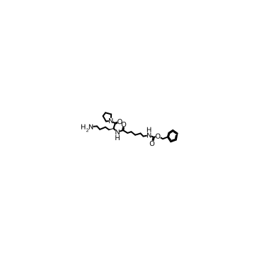 NCCCC[C@H](NC(=O)CCCCCNC(=O)OCc1ccccc1)C(=O)N1CCCC1